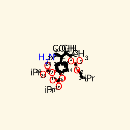 CC(C)CCOC(=O)OC(C)C(C)C(c1ccc(OC(=O)OC(C)C)c(OC(=O)OC(C)C)c1)[C@H](N)C(=O)O